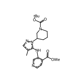 COC(=O)c1ccncc1Nc1c(C)cnn1C1CCCN(C(=O)OC(C)(C)C)C1